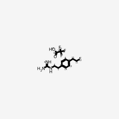 N=C(N)NCCc1ccc(CCF)cc1.O=C(O)C(F)(F)F